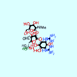 CN[C@@H]1[C@H](O[C@H]2[C@H](O[C@H]3[C@H](O)[C@@H](O)[C@H](NC(=N)N)[C@@H](O)[C@@H]3NC(=N)N)O[C@@H](C)[C@]2(O)C=O)O[C@@H](CO)[C@H](O)[C@H]1O.Cl.Cl.O=S(=O)(O)O